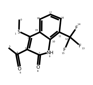 CSc1c(C(C)=O)c(=O)[nH]c2c(C(F)(F)F)cccc12